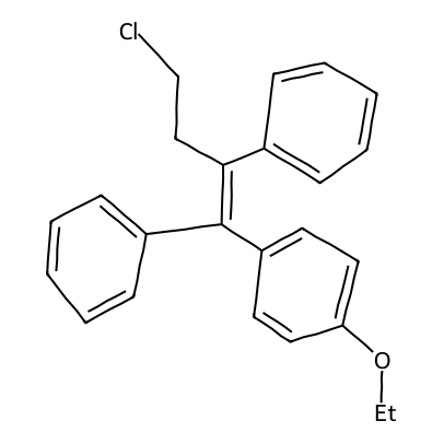 [CH2]COc1ccc(C(=C(CCCl)c2ccccc2)c2ccccc2)cc1